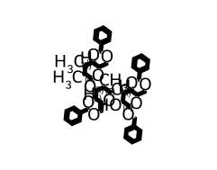 CC1[C@H](O[C@@H]2C(C)[C@H](O[C@@H]3C(O)[C@H](OCc4ccccc4)OC4COC(c5ccccc5)O[C@H]43)OC3COC(c4ccccc4)O[C@H]32)OC2COC(c3ccccc3)O[C@H]2[C@@H]1C